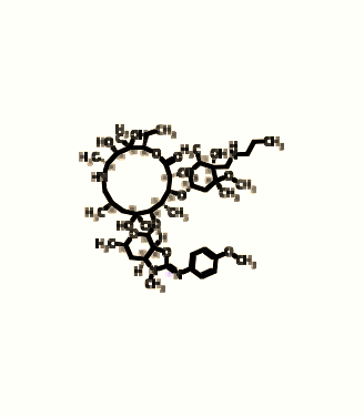 CCCNC[C@]1(O)[C@H](C)O[C@@H](O[C@H]2[C@H](C)[C@@H](O[C@@H]3O[C@H](C)C[C@H]4[C@H]3O/C(=N\c3ccc(OC)cc3)N4C)[C@](C)(O)C[C@@H](C)CN[C@H](C)[C@@H](O)[C@](C)(O)[C@@H](CC)OC(=O)[C@@H]2C)C[C@@]1(C)OC